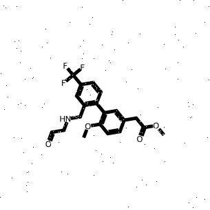 COC(=O)Cc1ccc(OC)c(-c2ccc(C(F)(F)F)cc2CNCC=O)c1